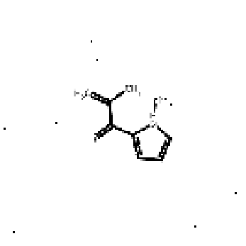 C=C(C)C(=O)C1=CC=C[SiH]1CCC